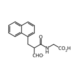 O=[C]C(Cc1cccc2ccccc12)C(=O)NCC(=O)O